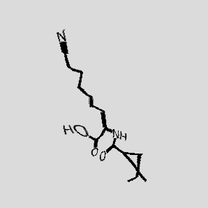 CC1(C)CC1C(=O)NC(=CCCCCCC#N)C(=O)O